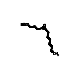 C=CC=CC=CCC1OC1CCCCCCCCCCC